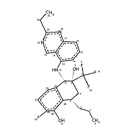 CCC[C@H]1C[C@](O)(C(F)(F)F)[C@@H](Nc2cccc3nc(CC)ncc23)c2ccc(F)c(O)c21